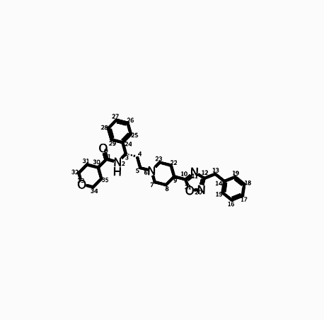 O=C(N[C@@H](CCN1CCC(c2nc(Cc3ccccc3)no2)CC1)c1ccccc1)C1CCOCC1